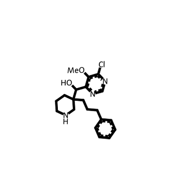 COc1c(Cl)ncnc1C(O)C1(CCCc2ccccc2)CCCNC1